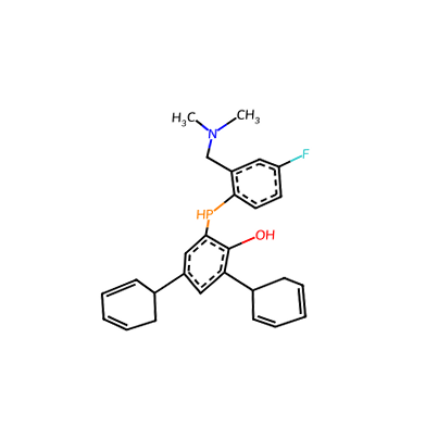 CN(C)Cc1cc(F)ccc1Pc1cc(C2C=CC=CC2)cc(C2C=CC=CC2)c1O